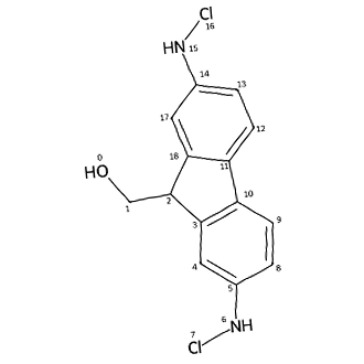 OCC1c2cc(NCl)ccc2-c2ccc(NCl)cc21